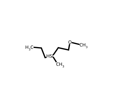 CCC[SiH](C)CCOC